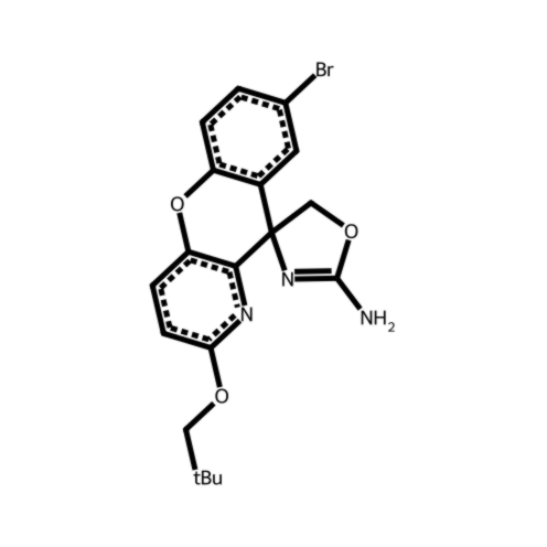 CC(C)(C)COc1ccc2c(n1)C1(COC(N)=N1)c1cc(Br)ccc1O2